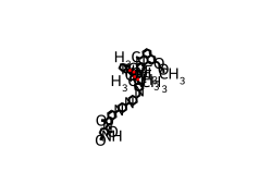 CCc1cccc2cc(OCOC)cc(-c3ncc4c(N5CC6CCC(C5)N6C(=O)OC(C)(C)C)nc(N5CCN(CC6CCN(C7CCN(c8ccc9c(c8)CN(C8CCC(=O)NC8=O)C9=O)CC7)CC6)C[C@@H]5C)nc4c3F)c12